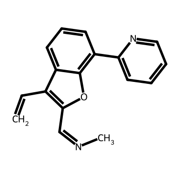 C=Cc1c(/C=N\C)oc2c(-c3ccccn3)cccc12